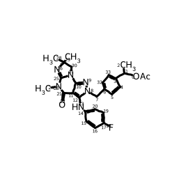 CC(=O)OC(C)c1ccc(Cn2nc3c(c2Nc2ccc(F)cc2)C(=O)N(C)C2=NC(C)(C)CN23)cc1